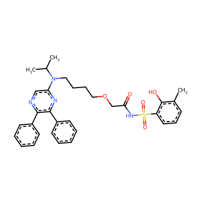 Cc1cccc(S(=O)(=O)NC(=O)COCCCCN(c2cnc(-c3ccccc3)c(-c3ccccc3)n2)C(C)C)c1O